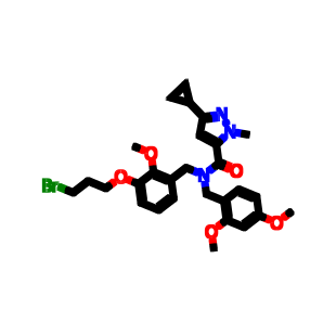 COc1ccc(CN(Cc2cccc(OCCCBr)c2OC)C(=O)c2cc(C3CC3)nn2C)c(OC)c1